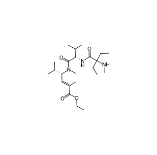 CCOC(=O)/C(C)=C/[C@H](C(C)C)N(C)C(=O)[C@@H](NC(=O)C(CC)(CC)NC)C(C)C